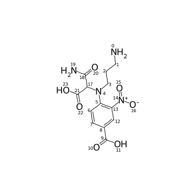 NCCCN(c1ccc(C(=O)O)cc1[N+](=O)[O-])C(C(N)=O)C(=O)O